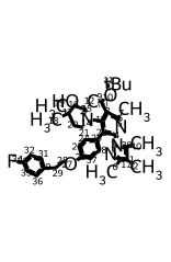 Cc1nn(-c2nc(C)c([C@H](OC(C)(C)C)C(=O)O)c(N3CCC(C)(C)CC3)c2-c2ccc(OCCc3ccc(F)cc3)cc2)c(C)c1C